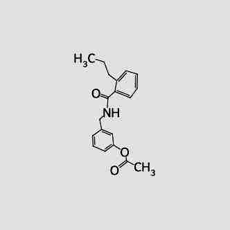 CCCc1ccccc1C(=O)NCc1cccc(OC(C)=O)c1